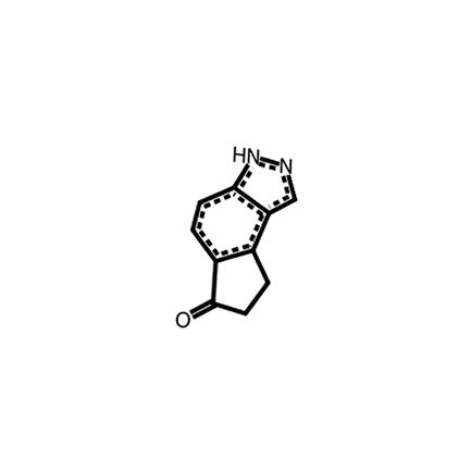 O=C1CCc2c1ccc1[nH]ncc21